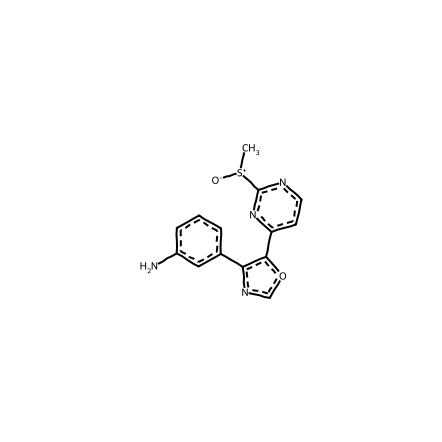 C[S+]([O-])c1nccc(-c2ocnc2-c2cccc(N)c2)n1